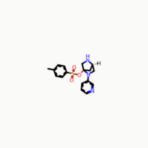 Cc1ccc(S(=O)(=O)O[C@]23CN[C@@H](CN2c2cccnc2)C3)cc1